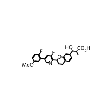 COc1ccc(F)c(-c2cnc(C3CCc4ccc([C@H](O)[C@H](C)C(=O)O)cc4O3)c(F)c2)c1